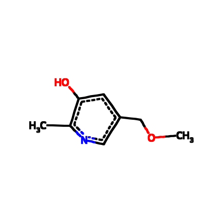 COCc1cnc(C)c(O)c1